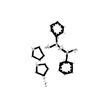 C1CCOC1.C1CCOC1.CCC[N]([Zr+2][N](CCC)c1ccccc1)c1ccccc1.[F-].[F-]